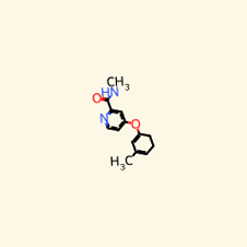 CNC(=O)c1cc(OC2=CC(C)=CCC2)ccn1